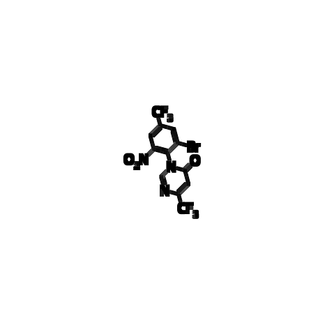 O=c1cc(C(F)(F)F)ncn1-c1c(Br)cc(C(F)(F)F)cc1[N+](=O)[O-]